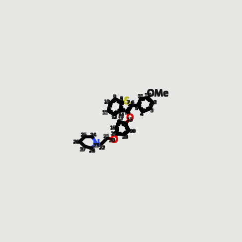 COc1cccc(-c2sc3ccccc3c2Oc2ccc(OCCN3CCCCC3)cc2)c1